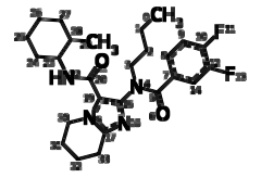 CCCCN(C(=O)c1ccc(F)c(F)c1)c1nc2n(c1C(=O)NC1CCCCC1C)CCCC2